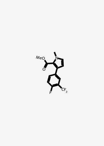 COC(=O)c1c(-c2ccc(F)c(C(F)(F)F)c2)ccn1C